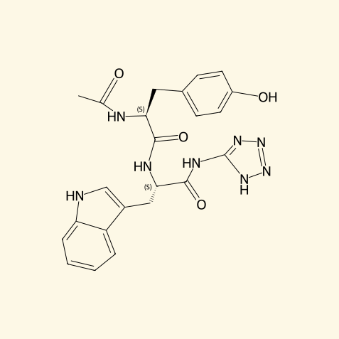 CC(=O)N[C@@H](Cc1ccc(O)cc1)C(=O)N[C@@H](Cc1c[nH]c2ccccc12)C(=O)Nc1nnn[nH]1